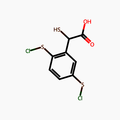 O=C(O)C(S)c1cc(SCl)ccc1SCl